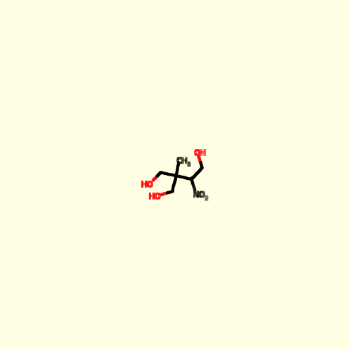 CC(CO)(CO)[C](CO)[N+](=O)[O-]